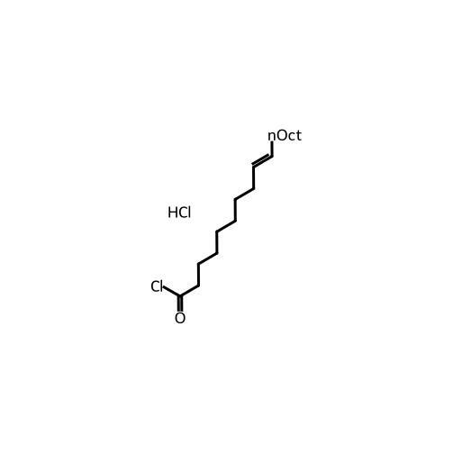 CCCCCCCCC=CCCCCCCCC(=O)Cl.Cl